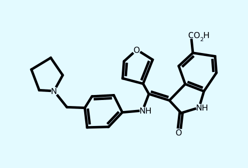 O=C1Nc2ccc(C(=O)O)cc2C1=C(Nc1ccc(CN2CCCC2)cc1)c1ccoc1